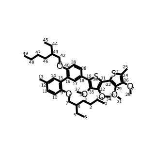 CCCCC(CC)COc1ccc(C)cc1-c1cc(-c2sc(-c3sc(C)c(OC)c3OC)c(OC)c2OC)ccc1OCC(CC)CCCC